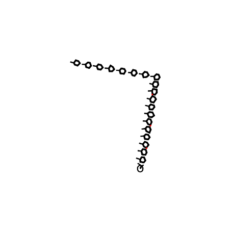 CC(C)=O.Cc1ccccc1.Cc1ccccc1.Cc1ccccc1.Cc1ccccc1.Cc1ccccc1.Cc1ccccc1.Cc1ccccc1.Cc1ccccc1.Cc1ccccc1.Cc1ccccc1.Cc1ccccc1.Cc1ccccc1.Cc1ccccc1.Cc1ccccc1.Cc1ccccc1.Cc1ccccc1.Cc1ccccc1.Cc1ccccc1.Cc1ccccc1